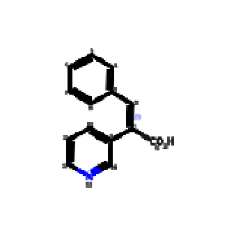 O=C(O)/C(=C/c1ccccc1)c1cccnc1